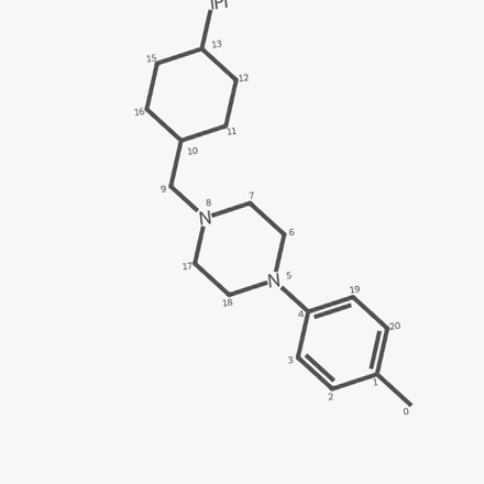 Cc1ccc(N2CCN(CC3CCC(C(C)C)CC3)CC2)cc1